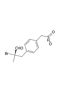 C[C@@](Br)(C=O)Cc1ccc(C[SH](=O)=O)cc1